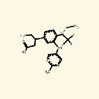 CCC(CC(=O)O)c1ccc([C@H](OC)C(F)(F)F)c(Nc2cnc(C)nc2)c1